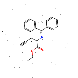 C#CCC(N=C(c1ccccc1)c1ccccc1)C(=O)OCC